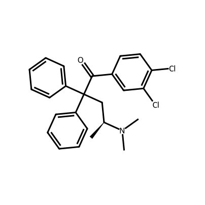 C[C@@H](CC(C(=O)c1ccc(Cl)c(Cl)c1)(c1ccccc1)c1ccccc1)N(C)C